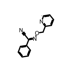 N#C/C(=N\OCc1ccc[c]n1)c1ccccc1